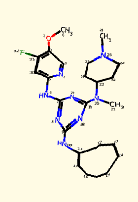 COc1cnc(Nc2nc(NC3CCCCCC3)nc(N(C)C3CCN(C)CC3)n2)cc1F